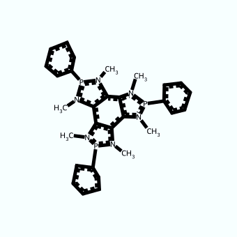 Cn1c2c3c(c4c(c2n(C)p1-c1ccccc1)n(C)p(-c1ccccc1)n4C)n(C)p(-c1ccccc1)n3C